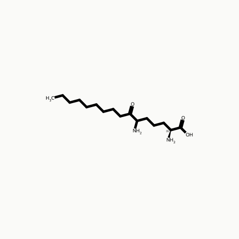 CCCCCCCCCC(=O)C(N)CCC[C@H](N)C(=O)O